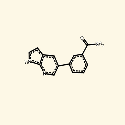 NC(=O)c1cccc(-c2cnc3[nH]ccc3c2)c1